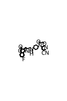 N#Cc1cnc2c(c1)N([C@H]1CC[C@@H](NCc3cc4c(=O)oc5ccc(F)cc5c4[nH]3)CC1)C(=O)CO2